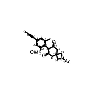 CC#Cc1cc(C)c(C2C(=O)CC3(CC2=O)CN(C(C)=O)C3)c(OC)c1